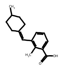 Cc1c(C=C2CCC(C)CC2)cccc1C(=O)O